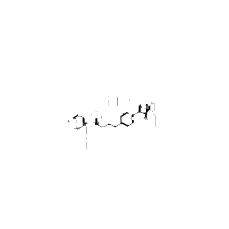 Cc1noc(C)c1-c1ccc(CCCC(=O)Nc2cccnc2)cc1